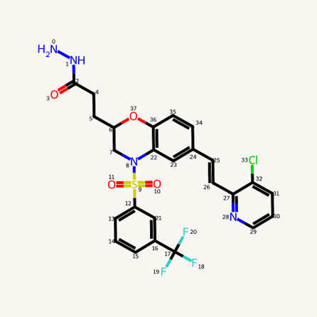 NNC(=O)CCC1CN(S(=O)(=O)c2cccc(C(F)(F)F)c2)c2cc(C=Cc3ncccc3Cl)ccc2O1